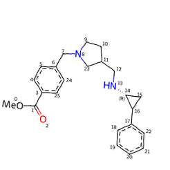 COC(=O)c1ccc(CN2CCC(CN[C@@H]3CC3c3ccccc3)C2)cc1